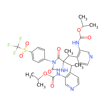 CC(C)OC(=O)Nc1cnccc1C(C)C1(C(C)c2ccncc2NC(=O)OC(C)C)NC(=O)N(c2ccc(S(=O)(=O)C(F)(F)F)cc2)C1=O